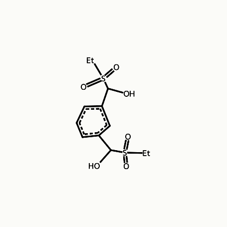 CCS(=O)(=O)C(O)c1cccc(C(O)S(=O)(=O)CC)c1